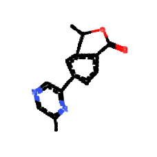 Cc1cncc(-c2ccc3c(c2)C(C)OC3=O)n1